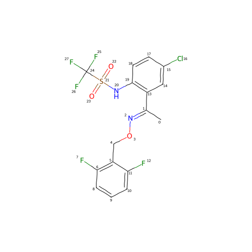 C/C(=N\OCc1c(F)cccc1F)c1cc(Cl)ccc1NS(=O)(=O)C(F)(F)F